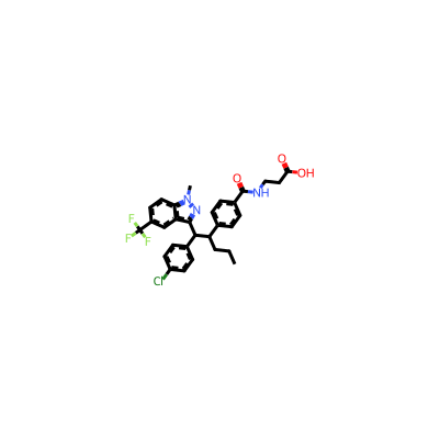 CCCC(c1ccc(C(=O)NCCC(=O)O)cc1)C(c1ccc(Cl)cc1)c1nn(C)c2ccc(C(F)(F)F)cc12